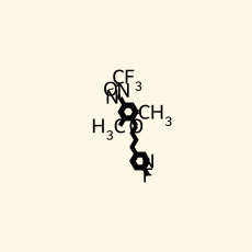 Cc1cc(-c2noc(C(F)(F)F)n2)cc(C)c1OCCCc1ccc(F)nc1